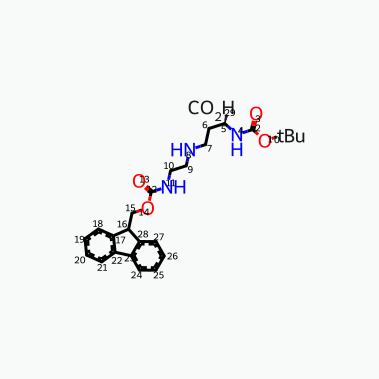 CC(C)(C)OC(=O)N[C@@H](CCNCCNC(=O)OCC1c2ccccc2-c2ccccc21)C(=O)O